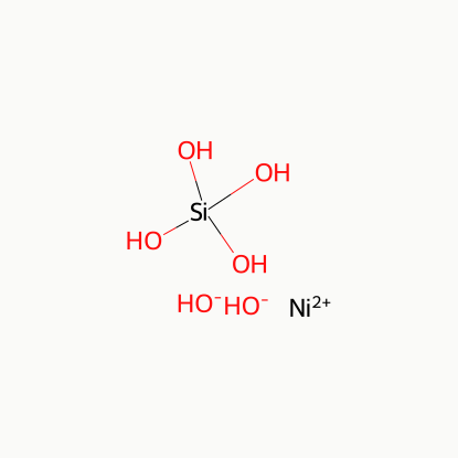 O[Si](O)(O)O.[Ni+2].[OH-].[OH-]